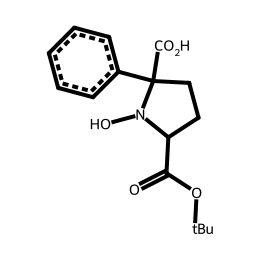 CC(C)(C)OC(=O)C1CCC(C(=O)O)(c2ccccc2)N1O